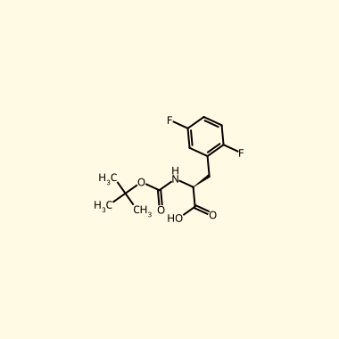 CC(C)(C)OC(=O)N[C@@H](Cc1cc(F)ccc1F)C(=O)O